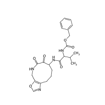 CC(C)C(NC(=O)OCc1ccccc1)C(=O)NC1CCCc2ncoc2CNC(=O)C1=O